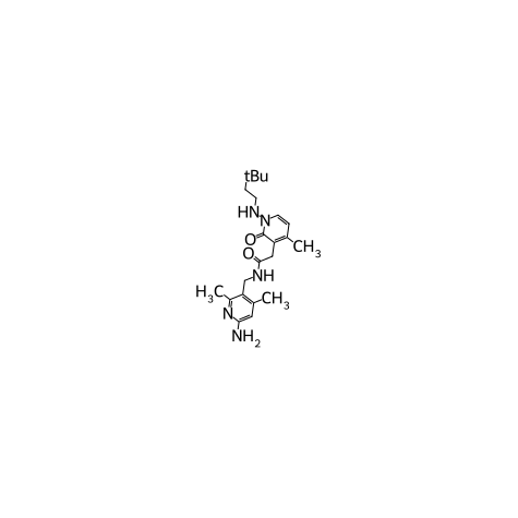 Cc1cc(N)nc(C)c1CNC(=O)Cc1c(C)ccn(NCCC(C)(C)C)c1=O